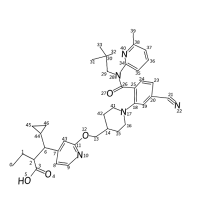 CCC(C(=O)O)C(c1ccnc(OCC2CCN(c3cc(C#N)ccc3C(=O)N(CC(C)(C)C)c3cccc(C)n3)CC2)c1)C1CC1